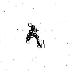 O=C(Oc1ccc(Cl)cc1)N1CCc2c([nH]c3ccc(Cl)cc23)[C@@H]1c1ccc(OCCCNCCO)cc1